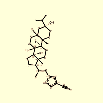 CC(C)[C@@]1(O)CC[C@@]2(C)[C@H](CC[C@@H]3[C@@H]2CC[C@]2(C)[C@@H]([C@H](C)Cn4cc(C#N)cn4)CC[C@@H]32)C1